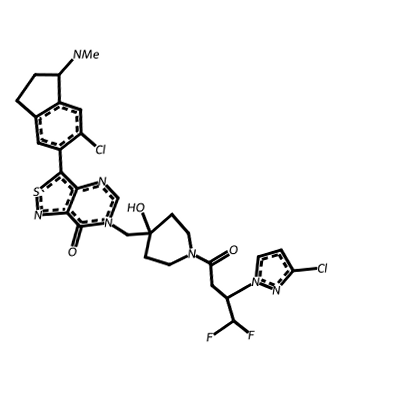 CNC1CCc2cc(-c3snc4c(=O)n(CC5(O)CCN(C(=O)CC(C(F)F)n6ccc(Cl)n6)CC5)cnc34)c(Cl)cc21